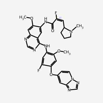 COc1cc2ncnc(Nc3cc(F)c(Oc4ccn5ncnc5c4)cc3OC)c2cc1NC(=O)/C(F)=C\C1CCCN1C